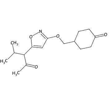 CC(=O)C(c1cc(OCC2CCC(=O)CC2)no1)C(C)C